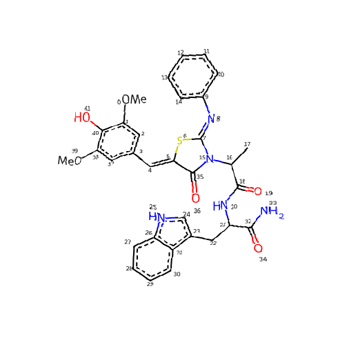 COc1cc(C=C2SC(=Nc3ccccc3)N(C(C)C(=O)NC(Cc3c[nH]c4ccccc34)C(N)=O)C2=O)cc(OC)c1O